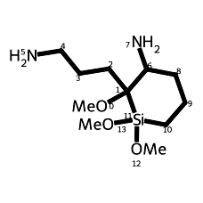 COC1(CCCN)C(N)CCC[Si]1(OC)OC